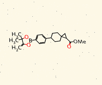 C=C1OB(c2ccc(C3CCC4(CC3)CC4C(=O)OC)cc2)OC1(C)C